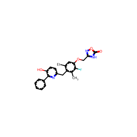 CCc1cc(OCc2noc(=O)[nH]2)c(F)c(C)c1Cc1ccc(O)c(-c2ccccc2)n1